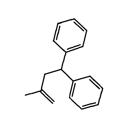 C=C(C)CC(c1ccccc1)c1ccccc1